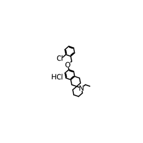 CCN1CCCCC12CCc1cc(OCc3ccccc3Cl)ccc1C2.Cl